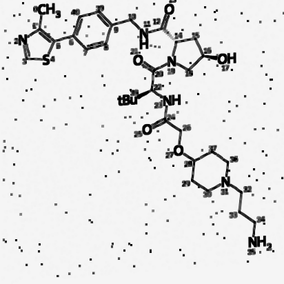 Cc1ncsc1-c1ccc(CNC(=O)[C@@H]2C[C@@H](O)CN2C(=O)[C@@H](NC(=O)COC2CCN(CCCN)CC2)C(C)(C)C)cc1